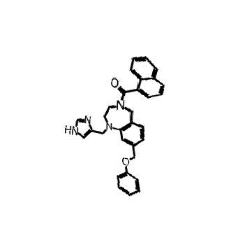 O=C(c1cccc2ccccc12)N1CCN(Cc2c[nH]cn2)c2cc(COc3ccccc3)ccc2C1